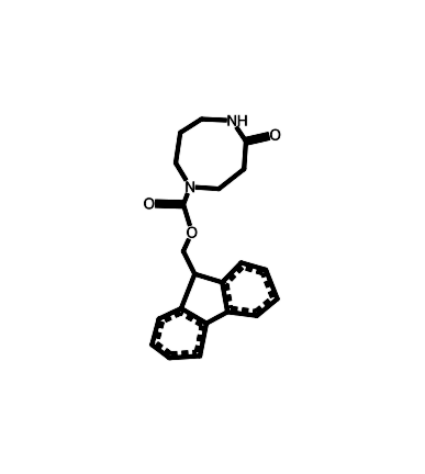 O=C1CCN(C(=O)OCC2c3ccccc3-c3ccccc32)CCCN1